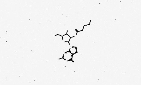 CCCCC(=O)OC1C(O)C(CO)OC1n1ccc2c(=O)[nH]c(N)nc21